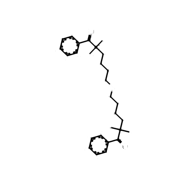 CC(C)(CCCCSCCCCC(C)(C)C(=O)c1ccccc1)C(=O)c1ccccc1